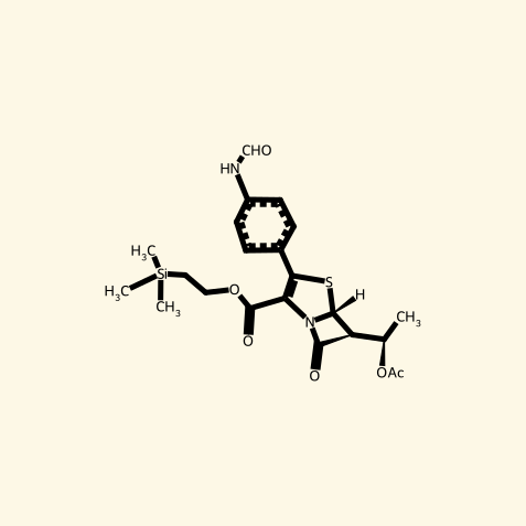 CC(=O)O[C@H](C)[C@H]1C(=O)N2C(C(=O)OCC[Si](C)(C)C)=C(c3ccc(NC=O)cc3)S[C@H]12